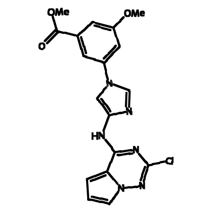 COC(=O)c1cc(OC)cc(-n2cnc(Nc3nc(Cl)nn4cccc34)c2)c1